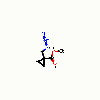 CCOC(=O)C1(CN=[N+]=[N-])CC1